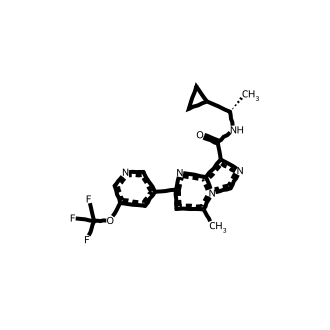 Cc1cc(-c2cncc(OC(F)(F)F)c2)nc2c(C(=O)N[C@@H](C)C3CC3)ncn12